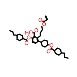 C=CC(=O)OCCCCc1c(C2CCC(OC(=O)C3CCC(CCC)CC3)CC2)ccc(OC(=O)C2CCC(CCC)CC2)c1C(=O)O